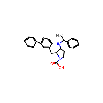 CC(NC1CCN(C(=O)O)C1Cc1cccc(-c2ccccc2)c1)c1ccccc1